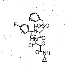 CCC(NC(=O)C(CS(=O)(=O)Cc1cccnc1)N[C@@H](c1ccc(F)cc1)C(F)(F)F)C(=O)C(=O)NC1CC1